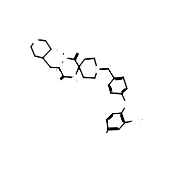 CCCCN1C(=O)[C@@H]([C@H](O)C2CCOCC2)N(C(C)C)C(=O)C12CCN(Cc1ccc(Oc3ccc(C(=O)O)cc3OC)cc1)CC2.Cl